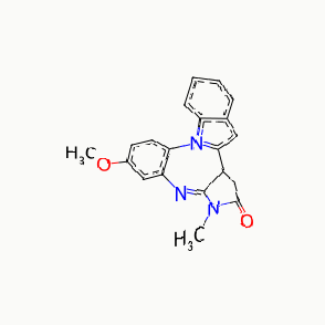 COc1ccc2c(c1)N=C1C(CC(=O)N1C)c1cc3ccccc3n1-2